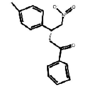 Cc1ccc([C@@H](CC(=O)c2ccccc2)C[N+](=O)[O-])cc1